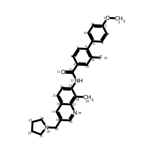 COc1ccc(-c2ccc(C(=O)Nc3ccc4cc(CN5CCCC5)cnc4c3C)cc2F)cc1